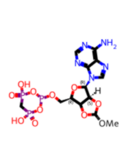 COC1OC2[C@@H](COP3OP(=O)(O)CP(=O)(O)O3)O[C@@H](n3cnc4c(N)ncnc43)[C@H]2O1